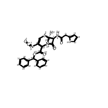 O=C=NC1=CS[C@H]2C(NC(=O)Cc3cccs3)C(=O)N2C1C(=O)OC(c1ccccc1)c1ccccc1